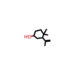 C=C(C)C1CC(O)CCC1(C)C